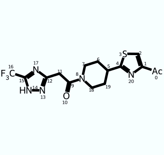 CC(=O)c1csc(C2CCN(C(=O)Cc3n[nH]c(C(F)(F)F)n3)CC2)n1